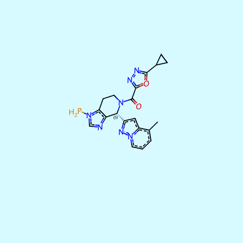 Cc1cccn2nc([C@@H]3c4ncn(P)c4CCN3C(=O)c3nnc(C4CC4)o3)cc12